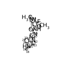 COc1c(NC(=O)c2cnc(N3CC[C@H](CNC4CC4)C3c3ccccc3)cn2)cc2cn(C)nc2c1F